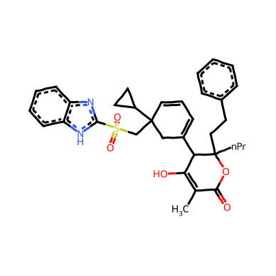 CCCC1(CCc2ccccc2)OC(=O)C(C)=C(O)C1C1=CC=CC(CS(=O)(=O)c2nc3ccccc3[nH]2)(C2CC2)C1